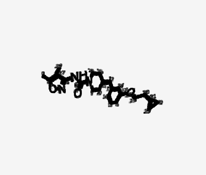 Cc1onc(NC(=O)N2CCC(=Cc3cccc(OCCC4CC4)c3)CC2)c1C